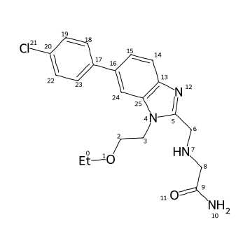 CCOCCn1c(CNCC(N)=O)nc2ccc(-c3ccc(Cl)cc3)cc21